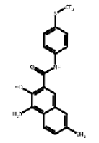 Bc1ccc2c(B)c(O)c(C(=O)Nc3ccc(SC(F)(F)F)cc3)cc2c1